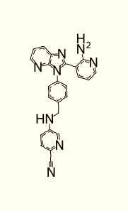 N#Cc1ccc(NCc2ccc(-n3c(-c4cccnc4N)nc4cccnc43)cc2)cn1